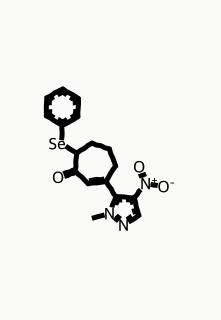 Cn1ncc([N+](=O)[O-])c1C1=CC(=O)C([Se]c2ccccc2)CCC1